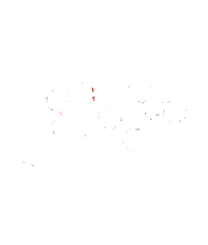 c1ccc(-c2ccc3c(c2)Oc2ccc(-c4cccc5c6ccccc6n(-c6ccccc6)c45)cc2C32c3ccccc3Oc3ccccc32)cc1